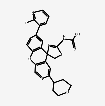 O=C(O)NC1=NC2(CS1)c1cc(-c3cccnc3F)ccc1Oc1cnc(C3CCOCC3)cc12